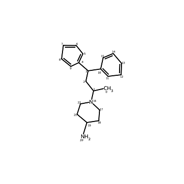 CC(CC(c1ccccc1)c1ccccc1)N1CCC(N)CC1